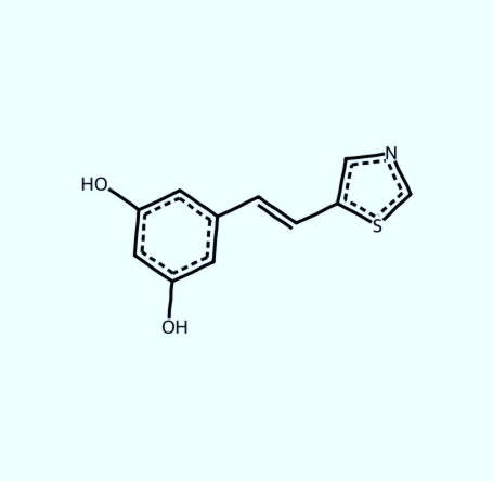 Oc1cc(O)cc(C=Cc2cncs2)c1